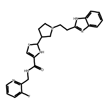 O=C(NCc1ncccc1F)C1=CSC(C2CCN(CCc3nc4ccccc4[nH]3)C2)N1